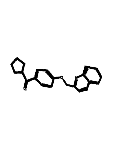 O=C(c1ccc(OCc2ccc3ccccc3n2)cc1)C1CCCC1